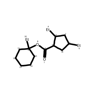 CCC1CC(CC)C(C(=O)OC2(CC)CCCCC2)C1